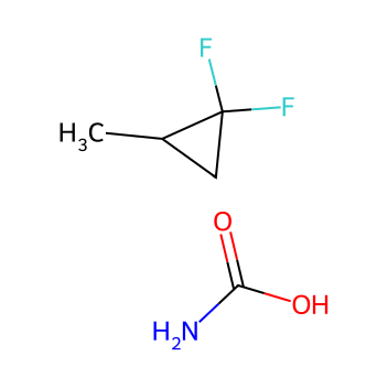 CC1CC1(F)F.NC(=O)O